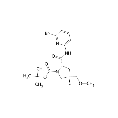 COC[C@@]1(F)C[C@@H](C(=O)Nc2cccc(Br)n2)N(C(=O)OC(C)(C)C)C1